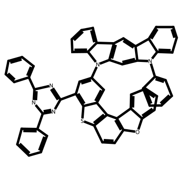 c1ccc(-c2nc(-c3ccccc3)nc(-c3cc(-n4c5ccccc5c5cc6c7ccccc7n(-c7ccccc7)c6cc54)cc4c3sc3ccc5oc6ccccc6c5c34)n2)cc1